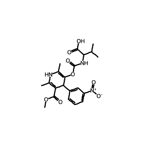 COC(=O)C1=C(C)NC(C)=C(OC(=O)NC(C(=O)O)C(C)C)C1c1cccc([N+](=O)[O-])c1